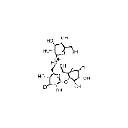 OC[C@H]1OC(O)[C@@H](O)[C@@H](O)[C@@H]1O.OC[C@H]1O[C@H](O[C@H]2[C@H](O)[C@@H](O)[C@H](O)O[C@@H]2CO)[C@H](O)[C@@H](O)[C@@H]1O